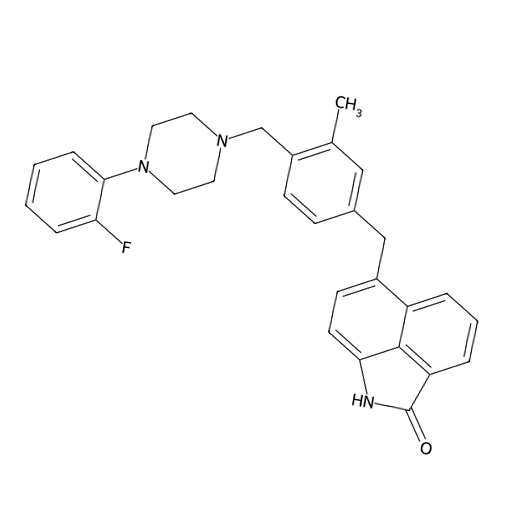 Cc1cc(Cc2ccc3c4c(cccc24)C(=O)N3)ccc1CN1CCN(c2ccccc2F)CC1